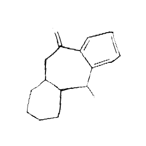 O=C1CC2CCCCC2C(I)c2ccccc21